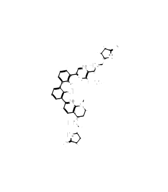 COc1nc(-c2cccc(-c3cccc(-c4ccc5c(n4)N(C)CC[C@H]5NC[C@@H]4CCC(=O)N4)c3Cl)c2Cl)cnc1CNC[C@H]1CCC(=O)N1